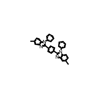 Cc1ccc2c(c1)nc(-c1ccc(-c3nc4cc(C)ccc4n3-c3ccccc3)cc1)n2-c1ccccc1